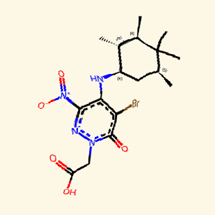 C[C@@H]1[C@@H](C)C(C)(C)[C@@H](C)C[C@H]1Nc1c([N+](=O)[O-])nn(CC(=O)O)c(=O)c1Br